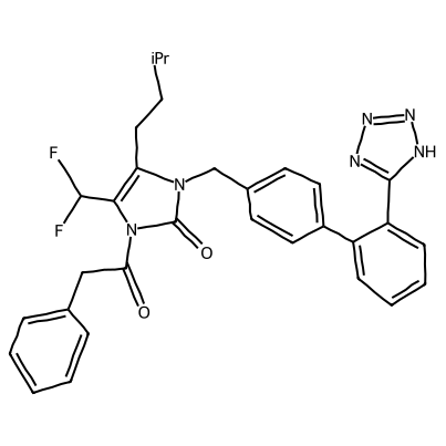 CC(C)CCc1c(C(F)F)n(C(=O)Cc2ccccc2)c(=O)n1Cc1ccc(-c2ccccc2-c2nnn[nH]2)cc1